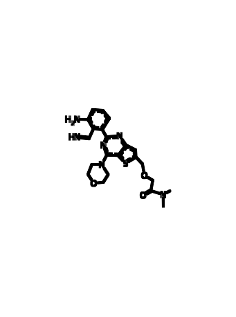 CN(C)C(=O)COCc1cc2nc(-c3cccc(N)c3C=N)nc(N3CCOCC3)c2s1